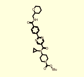 CC(C)(C)OC(=O)N1CCC(N(C(=O)c2cnc(-c3ccc(C(=O)NCC4CCCCO4)cc3)nc2)C2CC2)CC1